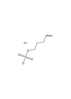 CCCCCCCCOS(=O)(=O)[O-].[Cs+]